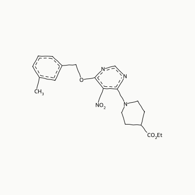 CCOC(=O)C1CCN(c2ncnc(OCc3cccc(C)c3)c2[N+](=O)[O-])CC1